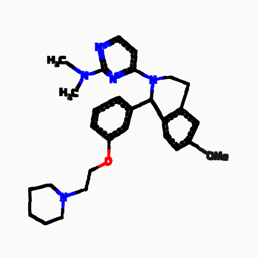 COc1ccc2c(c1)CCN(c1ccnc(N(C)C)n1)C2c1cccc(OCCN2CCCCC2)c1